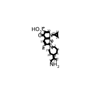 NCC(F)=C1CCCN(c2nc3c(cc2F)c(=O)c(C(=O)O)cn3C2CC2)CC1